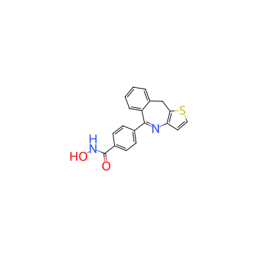 O=C(NO)c1ccc(C2=Nc3ccsc3Cc3ccccc32)cc1